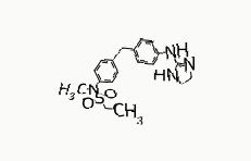 CCS(=O)(=O)N(C)c1ccc(Cc2ccc(NC3=NCCN3)cc2)cc1